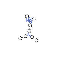 c1ccc(-c2ccc(N(c3ccc(-c4ccccc4)cc3)c3ccc(-c4ccc(-n5c6ccccc6n6c7ccccc7nc56)cc4)cc3)cc2)cc1